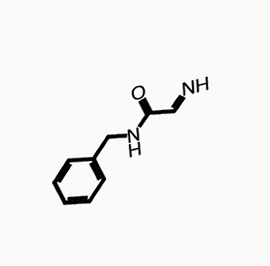 N=CC(=O)NCc1ccccc1